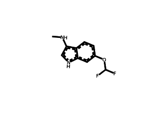 CNc1c[nH]c2cc(OC(F)F)ccc12